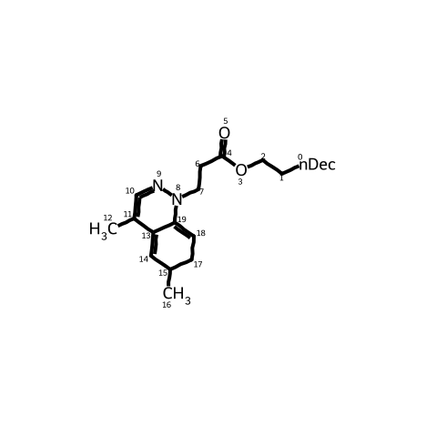 CCCCCCCCCCCCOC(=O)CCN1N=C=C(C)C2=CC(C)CC=C21